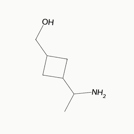 CC(N)C1CC(CO)C1